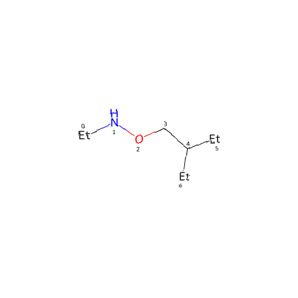 CCNOCC(CC)CC